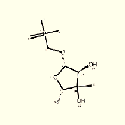 C=P(C)(C)CC[C@H]1O[C@@H](C)[C@@](C)(O)[C@@H]1O